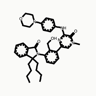 CCCCC1(CCCC)c2ccccc2C(=O)N1c1cccc(-c2cn(C)c(=O)c(Nc3ccc(N4CCOCC4)cc3)n2)c1CO